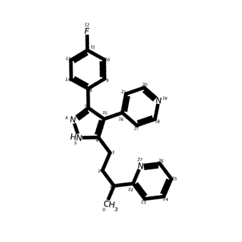 CC(CCc1[nH]nc(-c2ccc(F)cc2)c1-c1ccncc1)c1ccccn1